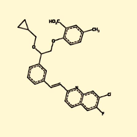 Cc1ccc(OCC(OCC2CC2)c2cccc(/C=C/c3ccc4cc(F)c(Cl)cc4n3)c2)c(C(=O)O)c1